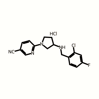 Cl.N#Cc1ccc(N2CCC(NCc3ccc(F)cc3Cl)C2)nc1